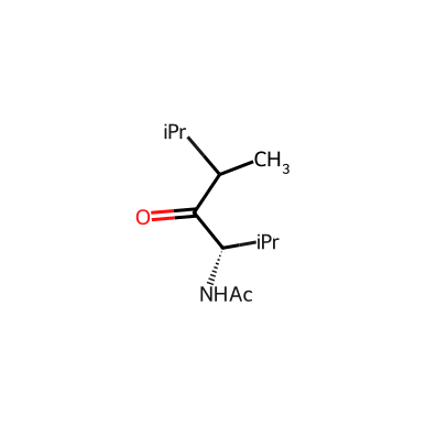 CC(=O)N[C@H](C(=O)C(C)C(C)C)C(C)C